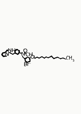 CCCCCCCCCCCCCCOc1cccc(CN(C(C)=O)c2cccc(Cc3[nH]cc4cccc[n+]34)c2)c1.[Br-]